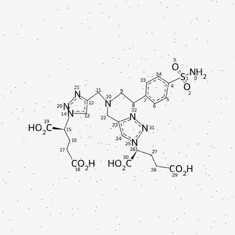 NS(=O)(=O)c1ccc(CCN(Cc2cn([C@@H](CCC(=O)O)C(=O)O)nn2)Cc2cn([C@@H](CCC(=O)O)C(=O)O)nn2)cc1